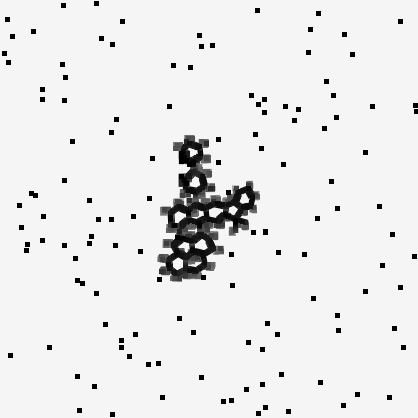 CC1(C)c2ccccc2-c2cc3c(-c4ccc(-c5ccccn5)nc4)c4ccccc4c(-c4ccc5c6c7c(ccc46)C=CCC7=CC5)c3cc21